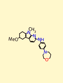 COC1CCc2c(c3ccc(Nc4ccc(N5CCCOCC5)cc4)nc3n2C)C1